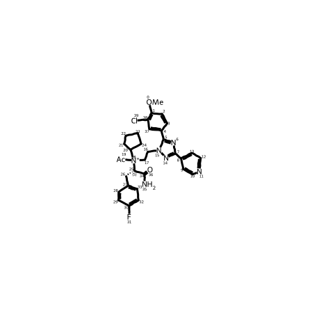 COc1ccc(-c2nc(-c3ccncc3)nn2CC[N+](C(C)=O)(C2CCCC2)[C@@H](Cc2ccc(F)cc2)C(N)=O)cc1Cl